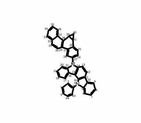 c1ccc(-n2c3ccccc3c3ccc4c(c5ccccc5n4-c4ccc5c(c4)-c4ccc6ccccc6c4C4CC54)c32)cc1